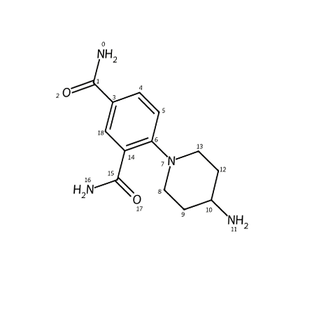 NC(=O)c1ccc(N2CCC(N)CC2)c(C(N)=O)c1